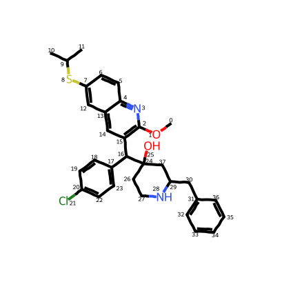 COc1nc2ccc(SC(C)C)cc2cc1C(c1ccc(Cl)cc1)C1(O)CCNC(Cc2ccccc2)C1